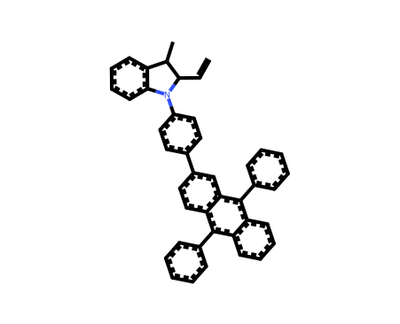 C=CC1C(C)c2ccccc2N1c1ccc(-c2ccc3c(-c4ccccc4)c4ccccc4c(-c4ccccc4)c3c2)cc1